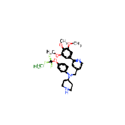 COc1cc(-c2cc(CN(c3ccc(OC(F)(F)F)cc3)C3CCNCC3)ccn2)cc(OC)c1OC.Cl.Cl